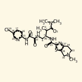 CC(C(=O)N(C)C)[C@H](CNC(=O)C(=O)Nc1ccc(Cl)cn1)NC(=O)c1nc2c(s1)CN(C)CC2